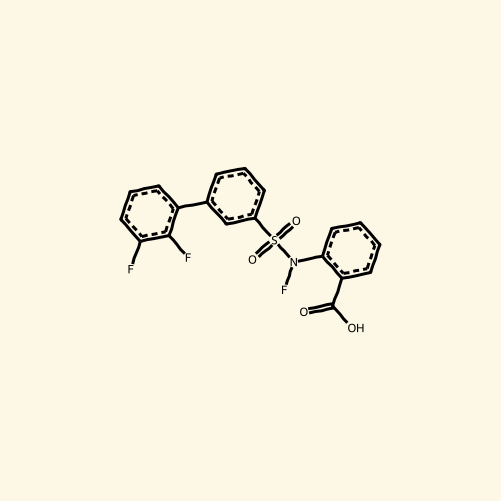 O=C(O)c1ccccc1N(F)S(=O)(=O)c1cccc(-c2cccc(F)c2F)c1